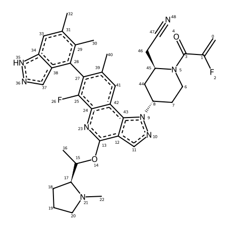 C=C(F)C(=O)N1CC[C@H](n2ncc3c(OC(C)[C@@H]4CCCN4C)nc4c(F)c(-c5c(C)c(C)cc6[nH]ncc56)c(C)cc4c32)C[C@H]1CC#N